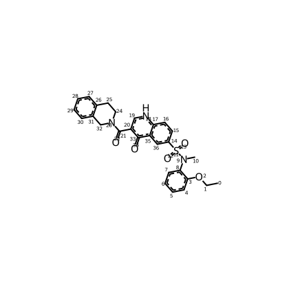 CCOc1ccccc1N(C)S(=O)(=O)c1ccc2[nH]cc(C(=O)N3CCc4ccccc4C3)c(=O)c2c1